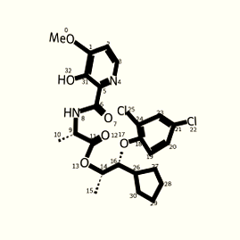 COc1ccnc(C(=O)N[C@@H](C)C(=O)O[C@@H](C)[C@H](Oc2ccc(Cl)cc2Cl)C2CCCC2)c1O